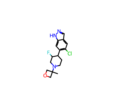 CC1(N2CCC(c3cc4[nH]ncc4cc3Cl)C(F)C2)COC1